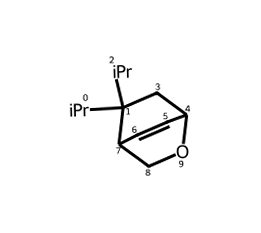 CC(C)C1(C(C)C)CC2C=CC1CO2